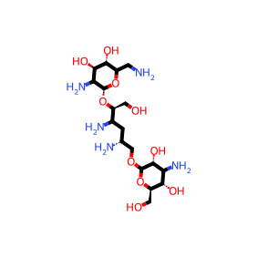 NCC1O[C@H](O[C@@H](CO)C(N)C[C@@H](N)COC2O[C@H](CO)[C@@H](O)C(N)[C@H]2O)C(N)[C@@H](O)[C@@H]1O